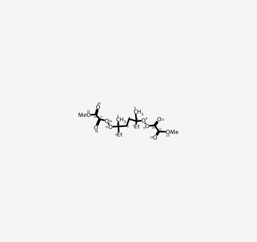 CCC(C)(CCC(C)(CC)OOC(=O)C(=O)OC)OOC(=O)C(=O)OC